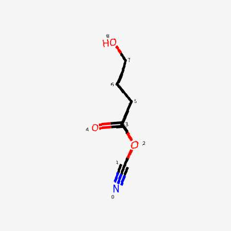 N#COC(=O)CCCO